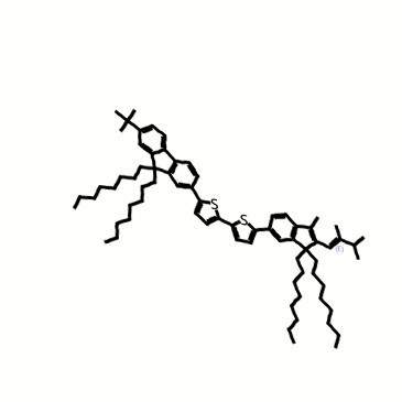 CCCCCCCCC1(CCCCCCCC)C(/C=C(\C)C(C)C)=C(C)c2ccc(-c3ccc(-c4ccc(-c5ccc6c(c5)C(CCCCCCCC)(CCCCCCCC)c5cc(C(C)(C)C)ccc5-6)s4)s3)cc21